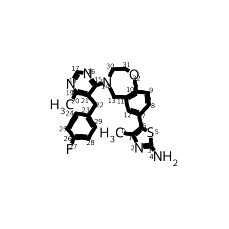 Cc1nc(N)sc1-c1ccc2c(c1)CN(c1ncnc(C)c1Cc1ccc(F)cc1)CCO2